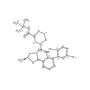 C[C@H]1CCN(c2nccc(-c3cc(F)ccc3F)c2NC(=O)C2CCCN(C(=O)OC(C)(C)C)C2)C1